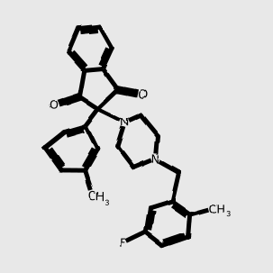 Cc1cccc(C2(N3CCN(Cc4cc(F)ccc4C)CC3)C(=O)c3ccccc3C2=O)c1